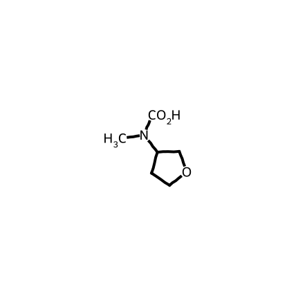 CN(C(=O)O)C1CCOC1